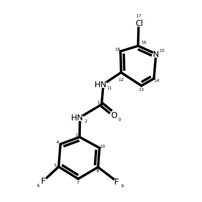 O=C(Nc1cc(F)cc(F)c1)Nc1ccnc(Cl)c1